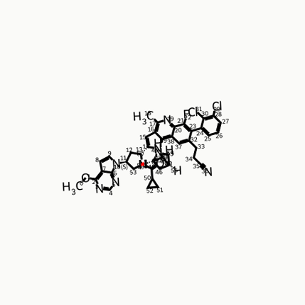 COc1ncnc2c1ccn2[C@H]1C[C@H](c2cc3c(C)nc4c(F)c(-c5cccc(Cl)c5Cl)c(CCC#N)cc4c3n2[C@H]2[C@H]3CN[C@@H]2C3)N(C(=O)C2CC2)C1